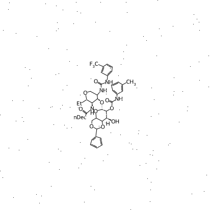 CCCCCCCCCCC(=O)N[C@H]1C(CC)OCC(NC(=O)Nc2cccc(C(F)(F)F)c2)[C@H]1O[C@H]1OC2COC(c3ccccc3)O[C@@H]2[C@H](O)C1OC(=O)Nc1cccc(C)c1